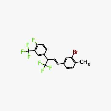 Cc1ccc(/C=C/C(c2ccc(F)c(C(F)(F)F)c2)C(F)(F)F)cc1Br